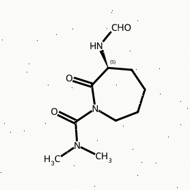 CN(C)C(=O)N1CCCC[C@H](NC=O)C1=O